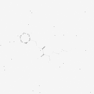 CCCCONCCC(CC)C(=O)C(=O)OCc1ccccc1